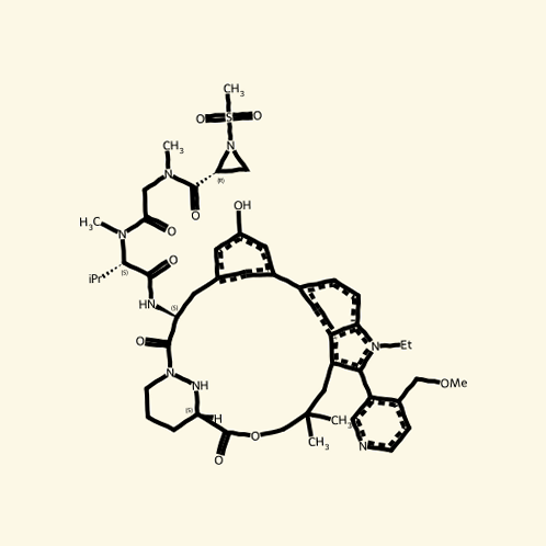 CCn1c(-c2cnccc2COC)c2c3cc(ccc31)-c1cc(O)cc(c1)C[C@H](NC(=O)[C@H](C(C)C)N(C)C(=O)CN(C)C(=O)[C@H]1CN1S(C)(=O)=O)C(=O)N1CCC[C@H](N1)C(=O)OCC(C)(C)C2